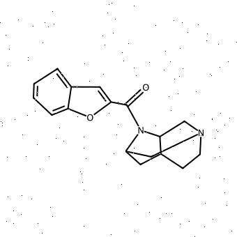 O=C(c1cc2ccccc2o1)N1C2CC3CCN(C2)CC31